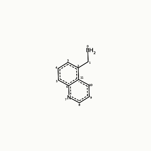 BCc1cccc2ncccc12